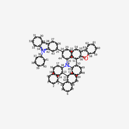 c1ccc(-c2cccc3cccc(-c4ccccc4N(c4cccc(-c5ccc6c7ccccc7n(-c7ccccc7)c6c5)c4)c4ccccc4-c4cccc5c4oc4ccccc45)c23)cc1